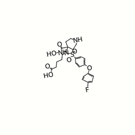 O=C(O)CCCCN(C1(C(=O)NO)CCNCC1)S(=O)(=O)c1ccc(Oc2ccc(F)cc2)cc1